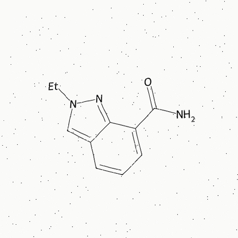 CCn1cc2cccc(C(N)=O)c2n1